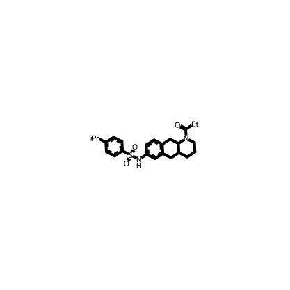 CCC(=O)N1CCCC2Cc3cc(NS(=O)(=O)c4ccc(C(C)C)cc4)ccc3CC21